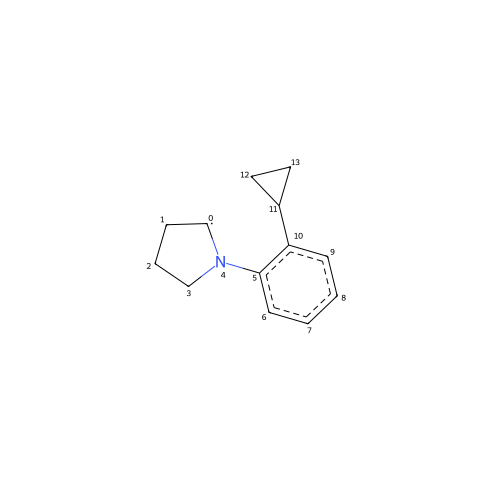 [CH]1CCCN1c1ccccc1C1CC1